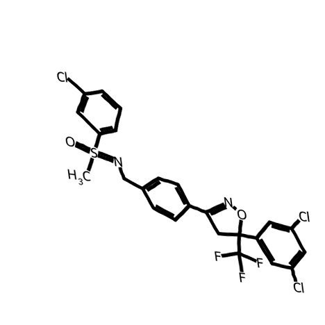 CS(=O)(=NCc1ccc(C2=NOC(c3cc(Cl)cc(Cl)c3)(C(F)(F)F)C2)cc1)c1cccc(Cl)c1